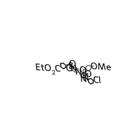 CCOC(=O)c1ccc(CS(=O)(=O)N2CCN(c3cnn(-c4cccc(Cl)c4)c(=O)c3OC3CCC(OC)CC3)CC2)cc1